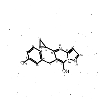 Oc1c(Cc2cccc(Cl)c2)c(C2CC2)nc2ccnn12